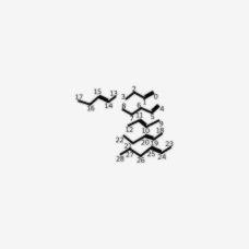 C=CCC.C=CCCC.CC=CC.CC=CCC.CC=CCC.CC=CCCC